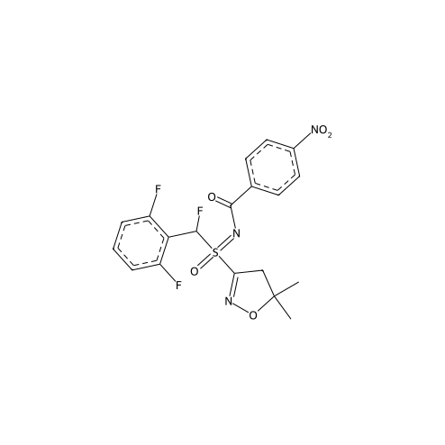 CC1(C)CC(S(=O)(=NC(=O)c2ccc([N+](=O)[O-])cc2)C(F)c2c(F)cccc2F)=NO1